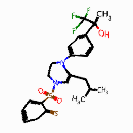 CC(C)CC1CN(S(=O)(=O)C2=CC=CCC2=S)CCN1c1ccc(C(C)(O)C(F)(F)F)cc1